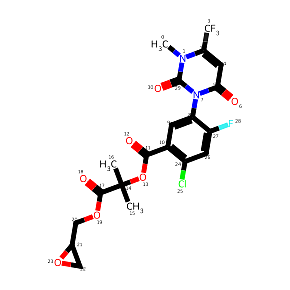 Cn1c(C(F)(F)F)cc(=O)n(-c2cc(C(=O)OC(C)(C)C(=O)OCC3CO3)c(Cl)cc2F)c1=O